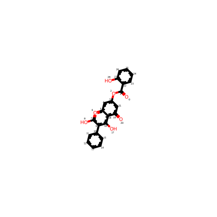 O=C(Oc1cc2oc(O)c(-c3ccccc3)c(O)c-2c(=O)c1)c1ccccc1O